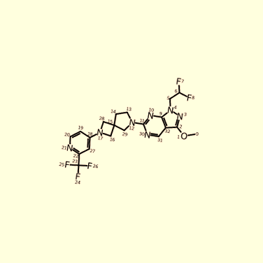 COc1nn(CC(F)F)c2nc(N3CCC4(CN(c5ccnc(C(F)(F)F)c5)C4)C3)ncc12